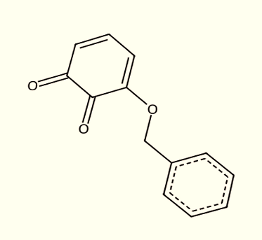 O=C1C=CC=C(OCc2ccccc2)C1=O